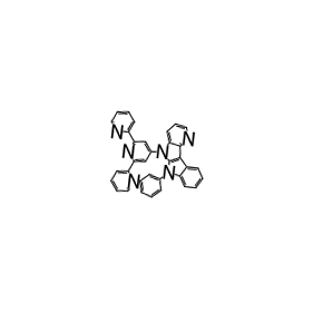 c1ccc(-n2c3ccccc3c3c4ncccc4n(-c4cc(-c5ccccn5)nc(-c5ccccn5)c4)c32)cc1